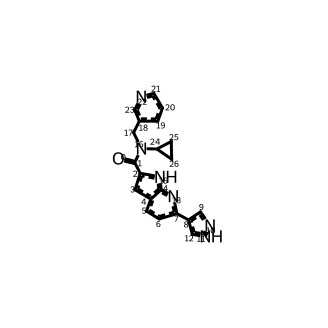 O=C(c1cc2ccc(-c3cn[nH]c3)nc2[nH]1)N(Cc1cccnc1)C1CC1